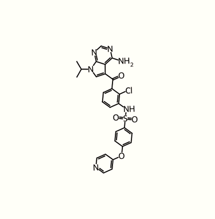 CC(C)n1cc(C(=O)c2cccc(NS(=O)(=O)c3ccc(Oc4ccncc4)cc3)c2Cl)c2c(N)ncnc21